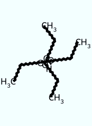 CCCCCCCC/C=C\CCCCCCCCOCC(OCCCCCCCC/C=C\CCCCCCCC)C(NOCCCCCCCC/C=C\CCCCCCCC)OCCCCCCCC/C=C\CCCCCCCC